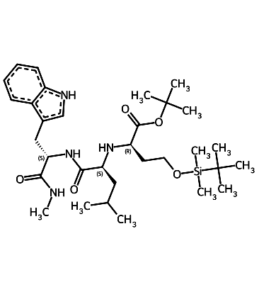 CNC(=O)[C@H](Cc1c[nH]c2ccccc12)NC(=O)[C@H](CC(C)C)N[C@H](CCO[Si](C)(C)C(C)(C)C)C(=O)OC(C)(C)C